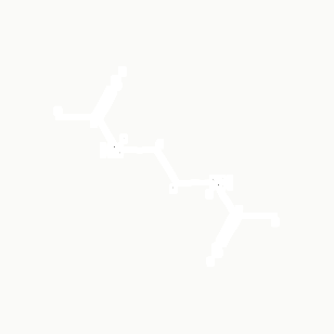 CC(=S)NCCNC(C)=S